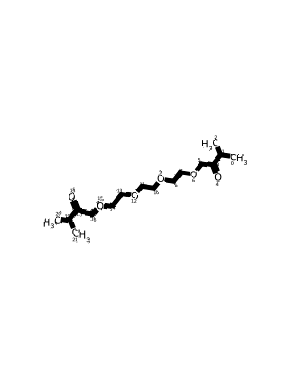 CC(C)C(=O)COCCOCCOCCOCC(=O)C(C)C